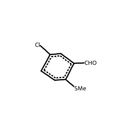 CSc1ccc(Cl)cc1C=O